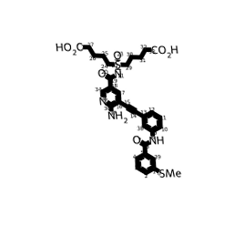 CSc1cccc(C(=O)Nc2cccc(C#Cc3cc(C(=O)N=S(=O)(CCCCC(=O)O)CCCCC(=O)O)cnc3N)c2)c1